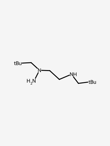 CC(C)(C)CNCCN(N)CC(C)(C)C